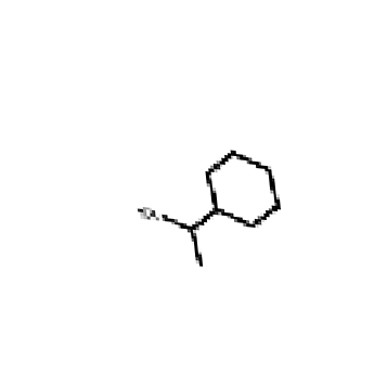 CCCC[C](C)C1CCCCC1